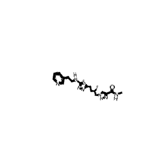 CNC(=O)c1cn(CC(F)CCc2nnc(NCCc3cccnc3)s2)nn1